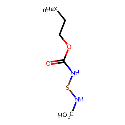 CCCCCCCCOC(=O)NSNC(=O)O